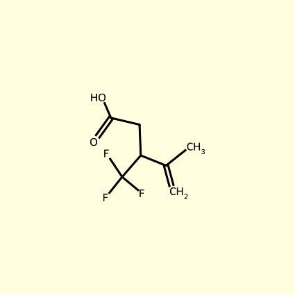 C=C(C)C(CC(=O)O)C(F)(F)F